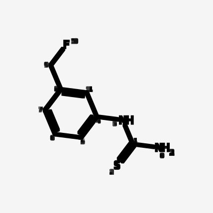 NC(=S)Nc1cccc(CF)c1